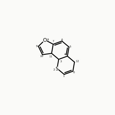 C1=CSC2C(=CC=C3OC=CC32)C1